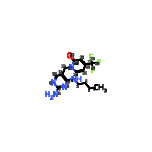 CCCCNc1nc(N)ncc1Cn1ccc(C(F)(F)F)cc1=O